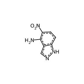 Nc1c([N+](=O)[O-])ccc2[nH]ncc12